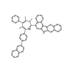 CC1=C(c2ccc(-c3ccc4ccccc4c3)cc2)N=C(c2cc3sc4cc5ccccc5cc4c3c3ccccc23)C(C)C(C)=C1c1ccccc1